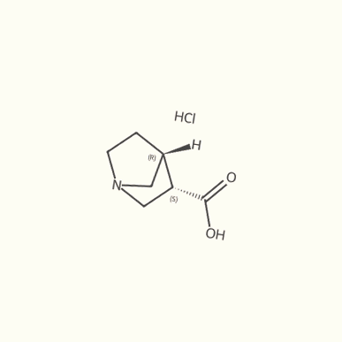 Cl.O=C(O)[C@@H]1CN2CC[C@H]1C2